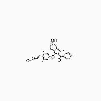 Cc1ccc(C(=O)c2sc3cc(O)ccc3c2Oc2cc(C)c(/C=C/OC=O)c(C)c2)c(C)c1